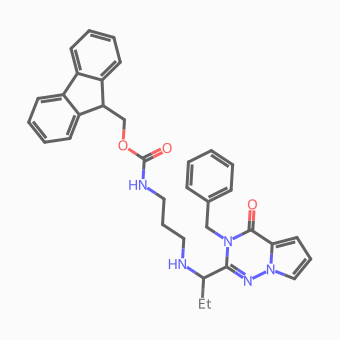 CCC(NCCCNC(=O)OCC1c2ccccc2-c2ccccc21)c1nn2cccc2c(=O)n1Cc1ccccc1